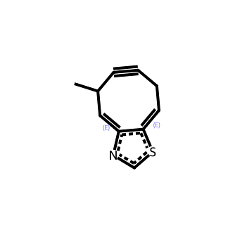 CC1C#CC/C=c2/scn/c2=C/1